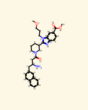 COCCCn1c(C2CCCN(C(=O)CC(N)Cc3ccc4ccccc4c3)C2)nc2ccc(C(=O)OC)cc21